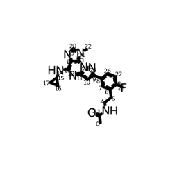 CC(=O)NCCc1cc(-c2cc3nc(NC4CC4)c4ncn(C)c4n3n2)ccc1F